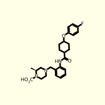 C[C@H]1CN(Cc2ccccc2NC(=O)C2CCC(Oc3ccc(F)cc3)CC2)CCN1C(=O)O